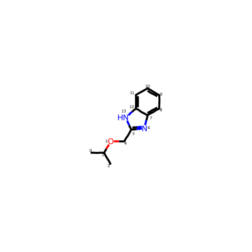 CC(C)OCc1nc2ccccc2[nH]1